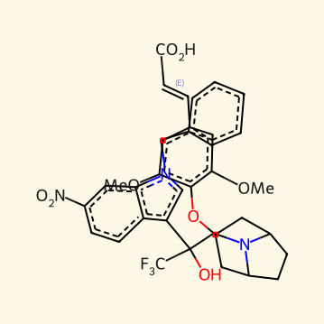 COc1cc(/C=C/C(=O)O)cc(OC)c1OC1CC2CCC(C1)N2CC(O)(c1cn(Cc2ccccc2)c2cc([N+](=O)[O-])ccc12)C(F)(F)F